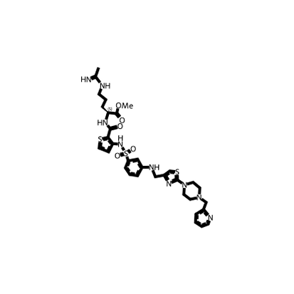 COC(=O)[C@H](CCCNC(C)=N)NC(=O)c1sccc1NS(=O)(=O)c1cccc(NCc2csc(N3CCN(Cc4ccccn4)CC3)n2)c1